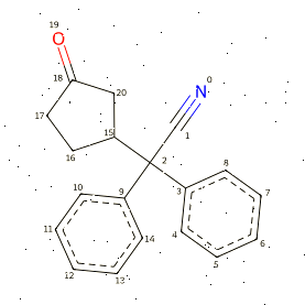 N#CC(c1ccccc1)(c1ccccc1)C1CCC(=O)C1